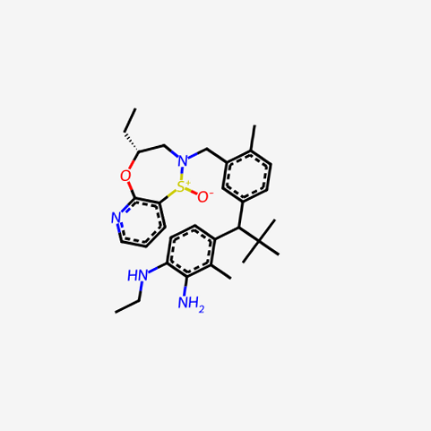 CCNc1ccc(C(c2ccc(C)c(CN3C[C@@H](CC)Oc4ncccc4[S+]3[O-])c2)C(C)(C)C)c(C)c1N